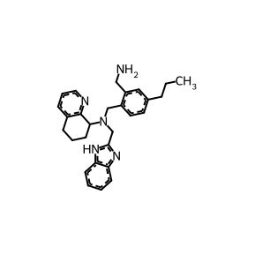 CCCc1ccc(CN(Cc2nc3ccccc3[nH]2)C2CCCc3cccnc32)c(CN)c1